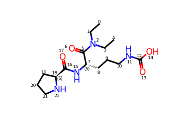 CCN(CC)C(=O)[C@H](CCCNC(=O)O)NC(=O)[C@@H]1CCCN1